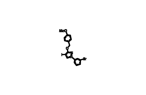 COc1ccc(COc2nn(-c3cccc(Br)c3)cc2I)cc1